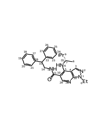 CCn1ncc2c(N[C@@H](C)C(C)C)c(C(=O)NCC(c3ccccc3)c3ccccc3)cnc21